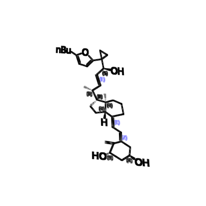 C=C1/C(=C\C=C2/CCC[C@]3(C)[C@@H]([C@H](C)/C=C/[C@H](O)C4(c5ccc(CCCC)o5)CC4)CC[C@@H]23)C[C@@H](O)C[C@@H]1O